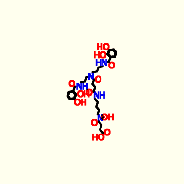 O=C(O)CCC(=O)N(O)CCCCCNC(=O)CCC(=O)N(CCCCNC(=O)c1cccc(O)c1O)CCCNC(=O)c1cccc(O)c1O